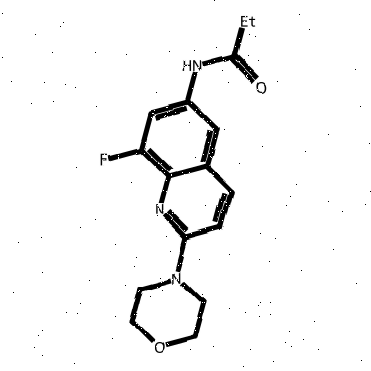 CCC(=O)Nc1cc(F)c2nc(N3CCOCC3)ccc2c1